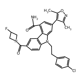 Cc1noc(C)c1-c1cc(C(N)=O)c2c3cc(C(=O)N4CC(F)C4)ccc3n(CCc3ccc(Cl)cc3)c2c1